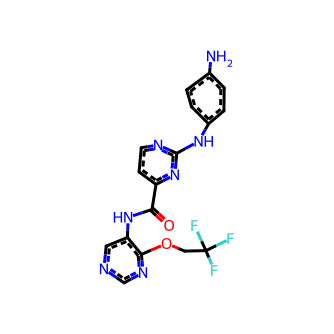 Nc1ccc(Nc2nccc(C(=O)Nc3cncnc3OCC(F)(F)F)n2)cc1